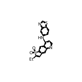 CCC1=Cc2cc3nccc(Nc4ccc5scnc5c4)c3cc2S1(=O)=O